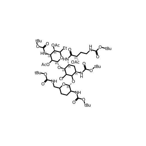 CCC1O[C@H](O[C@@H]2C(Cl)C(O[C@H]3OC(CNC(=O)OC(C)(C)C)CCC3NC(=O)OC(C)(C)C)[C@H](NC(=O)OC(C)(C)C)C[C@H]2NC(=O)[C@H](CCNC(=O)OC(C)(C)C)OC(C)=O)C(OC(C)=O)[C@@H](NC(=O)OC(C)(C)C)[C@H]1OC(C)=O